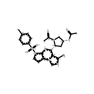 CC(=O)O[C@@H]1C[C@H](c2nc3c(ccn3S(=O)(=O)c3ccc(C)cc3)n3cnc(Br)c23)N(C(C)=O)C1